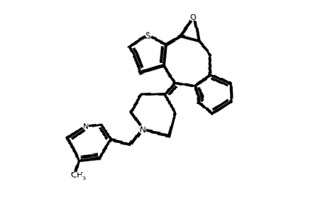 Cc1cncc(CN2CCC(=C3c4ccccc4CC4OC4c4sccc43)CC2)c1